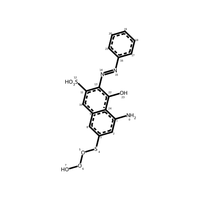 Nc1cc(SOOO)cc2cc(S(=O)(=O)O)c(N=Nc3ccccc3)c(O)c12